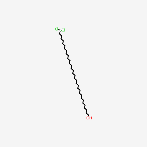 OCCCCCCCCCCCCCCCCCCCCCCCCCCCCCCCCCC[SiH](Cl)Cl